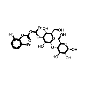 CCC(OC(=O)Oc1c(C(C)C)cccc1C(C)C)O[C@@H]1[C@@H](O)[C@@H](O[C@H]2[C@H](O)[C@@H](O)[C@H](O)O[C@@H]2CO)O[C@H](CO)[C@H]1O